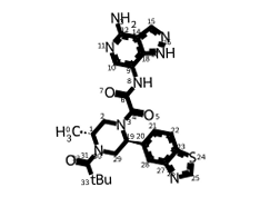 C[C@@H]1CN(C(=O)C(=O)Nc2cnc(N)c3cn[nH]c23)[C@@H](c2ccc3scnc3c2)CN1C(=O)C(C)(C)C